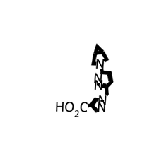 O=C(O)c1cnn(Cc2ccc(N3CC4CC4C3)nn2)c1